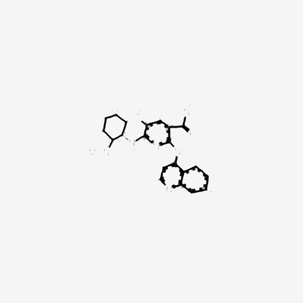 CNC1CCCC[C@H]1Nc1nc(Nc2ccnc3ccccc23)c(C(N)=O)cc1F